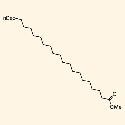 CCCCCCCCCCCCCCCCCCCCCCCCCCCCC(=O)OC